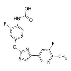 Cc1ncc(-c2csc(Oc3ccc(NC(=O)O)c(F)c3)n2)cc1F